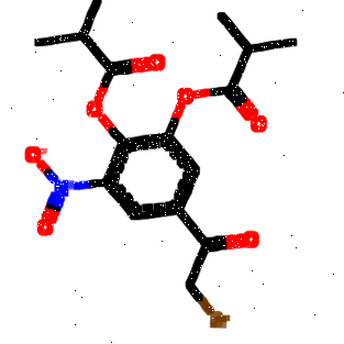 CC(C)C(=O)Oc1cc(C(=O)CBr)cc([N+](=O)[O-])c1OC(=O)C(C)C